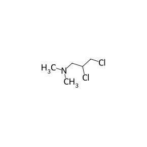 CN(C)CC(Cl)CCl